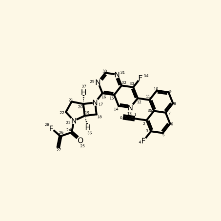 C#Cc1c(F)ccc2cccc(-c3ncc4c(N5C[C@@H]6[C@H]5CCN6C(=O)C(=C)F)ncnc4c3F)c12